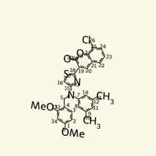 COc1ccc(CN(c2cc(C)cc(C)c2)c2csc(-c3cc4cccc(Cl)c4oc3=O)n2)c(OC)c1